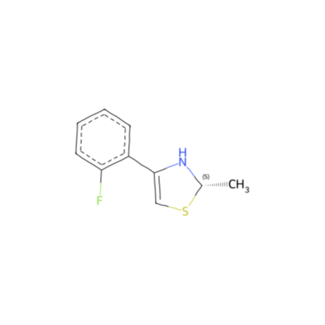 C[C@H]1NC(c2ccccc2F)=CS1